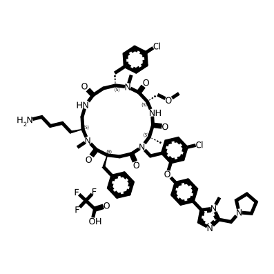 COC[C@@H]1NC(=O)[C@H](C)N(Cc2ccc(Cl)cc2Oc2ccc(-c3cnc(CN4CCCC4)n3C)cc2)C(=O)C[C@@H](Cc2ccccc2)C(=O)N(C)[C@@H](CCCCN)CNC(=O)C[C@H](Cc2ccc(Cl)cc2)N(C)C1=O.O=C(O)C(F)(F)F